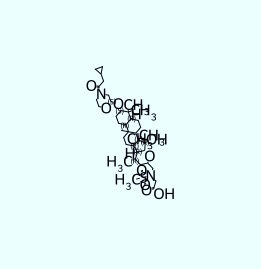 C[C@@H]1CC(CN(CC(=O)O)S(C)(=O)=O)OC2[C@H]1[C@@]1(C)CCC34C[C@@]35CC[C@H](O[C@H]3CN(C(=O)CC6CC6)CCO3)C(C)(C)[C@@H]5CCC4[C@]1(C)[C@H]2O